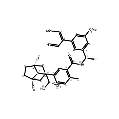 CN/C=C(\C=N)c1cc(OC)cc([C@@H](C)NC(=O)c2cc(N3C[C@H]4CC[C@@H](C3)N4C[C@@H](O)C(F)(F)F)ccc2C)c1